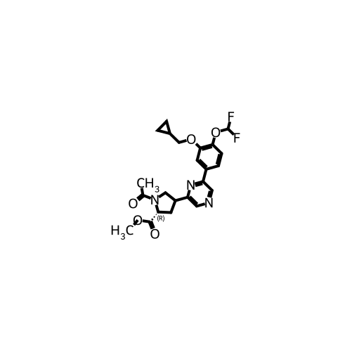 COC(=O)[C@H]1CC(c2cncc(-c3ccc(OC(F)F)c(OCC4CC4)c3)n2)CN1C(C)=O